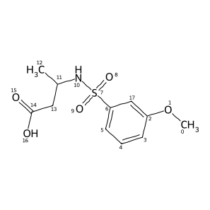 COc1cccc(S(=O)(=O)NC(C)CC(=O)O)c1